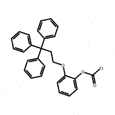 CCC(=O)Oc1ccccc1OCCC(c1ccccc1)(c1ccccc1)c1ccccc1